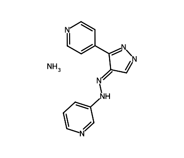 C1=NN=C(c2ccncc2)C1=NNc1cccnc1.N